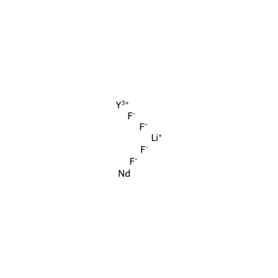 [F-].[F-].[F-].[F-].[Li+].[Nd].[Y+3]